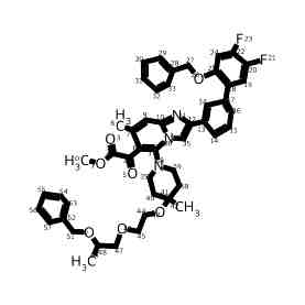 COC(=O)C(=O)c1c(C)cc2nc(-c3cccc(-c4cc(F)c(F)cc4OCc4ccccc4)c3)cn2c1N1CCC(C)(OCCOCC(C)OCc2ccccc2)CC1